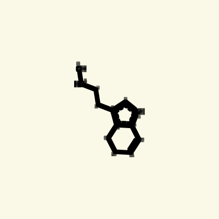 ONCCc1c[nH]c2c1CCC=C2